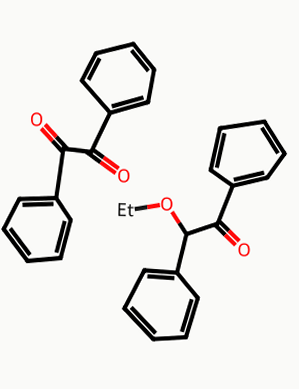 CCOC(C(=O)c1ccccc1)c1ccccc1.O=C(C(=O)c1ccccc1)c1ccccc1